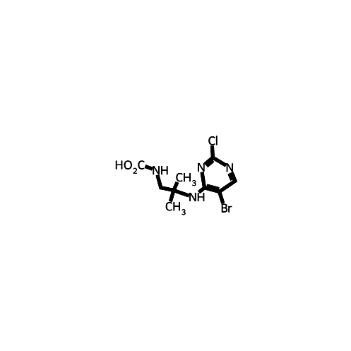 CC(C)(CNC(=O)O)Nc1nc(Cl)ncc1Br